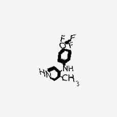 C[C@@H]1CNCC[C@@H]1Nc1ccc(OC(F)(F)F)cc1